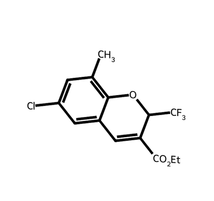 CCOC(=O)C1=Cc2cc(Cl)cc(C)c2OC1C(F)(F)F